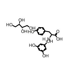 NC(Cc1ccc(O)cc1)C(=O)O.OC[C@@H](O)[C@@H](O)CO.Oc1cc(O)cc(O)c1